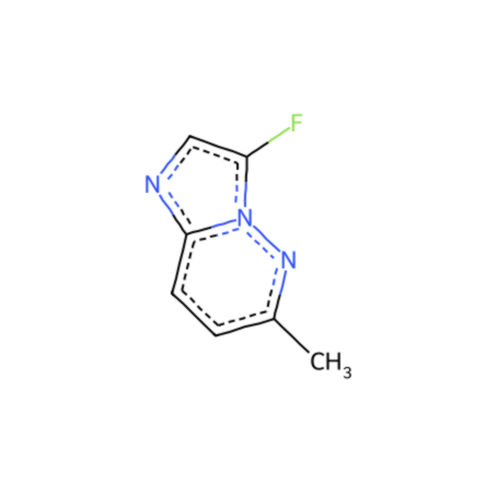 Cc1ccc2ncc(F)n2n1